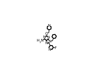 Nc1nc(OCc2ccncc2)nc2c1nc(-c1cncc(F)c1)n2Cc1ccccc1